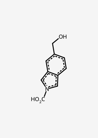 O=C(O)n1cc2ccc(CO)cc2c1